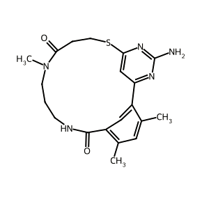 Cc1cc(C)c2cc1C(=O)NCCCN(C)C(=O)CCSc1cc-2nc(N)n1